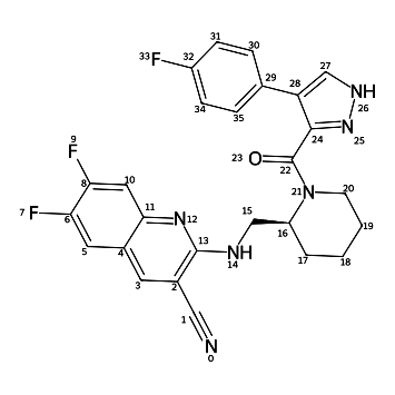 N#Cc1cc2cc(F)c(F)cc2nc1NC[C@@H]1CCCCN1C(=O)c1n[nH]cc1-c1ccc(F)cc1